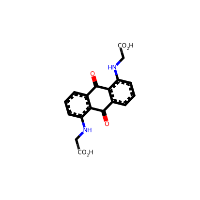 O=C(O)CNc1cccc2c1C(=O)c1cccc(NCC(=O)O)c1C2=O